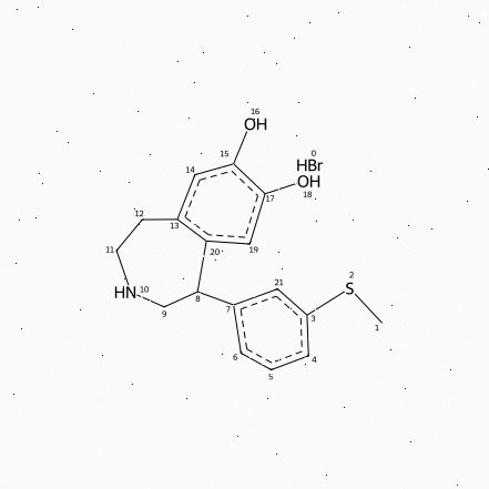 Br.CSc1cccc(C2CNCCc3cc(O)c(O)cc32)c1